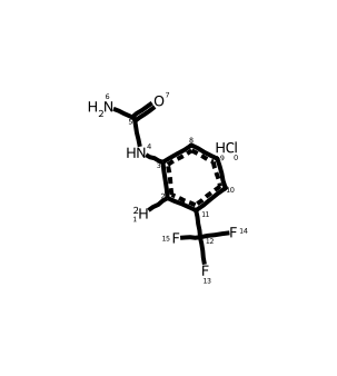 Cl.[2H]c1c(NC(N)=O)cccc1C(F)(F)F